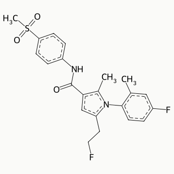 Cc1cc(F)ccc1-n1c(CCF)cc(C(=O)Nc2ccc(S(C)(=O)=O)cc2)c1C